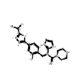 O=C(N1CCOCC1)N(Cc1ccc(-c2nnc(C(F)F)o2)cc1F)c1nccs1